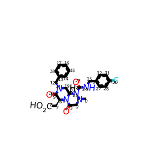 CN1CC(=O)N2[C@@H](CC(=O)O)C(=O)N(Cc3ccccc3)C[C@@H]2N1C(=O)NCc1ccc(F)cc1